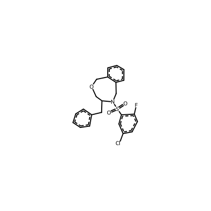 O=S(=O)(c1cc(Cl)ccc1F)N1Cc2ccccc2COCC1Cc1ccccc1